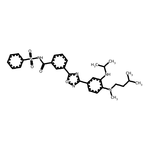 CC(C)CCN(C)c1ccc(-c2noc(-c3cccc(C(=O)NS(=O)(=O)c4ccccc4)c3)n2)cc1NC(C)C